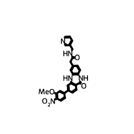 COc1cc(-c2ccc3c(c2)Nc2cc(CC(=O)NCc4cccnc4)ccc2NC3=O)ccc1[N+](=O)[O-]